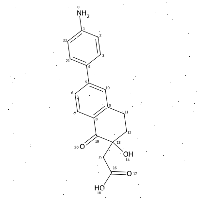 Nc1ccc(-c2ccc3c(c2)CCC(O)(CC(=O)O)C3=O)cc1